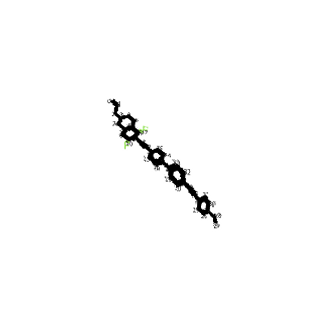 CCCC1CCc2c(cc(F)c(C#Cc3ccc(-c4ccc(C#Cc5ccc(CC)cc5)cc4)cc3)c2F)C1